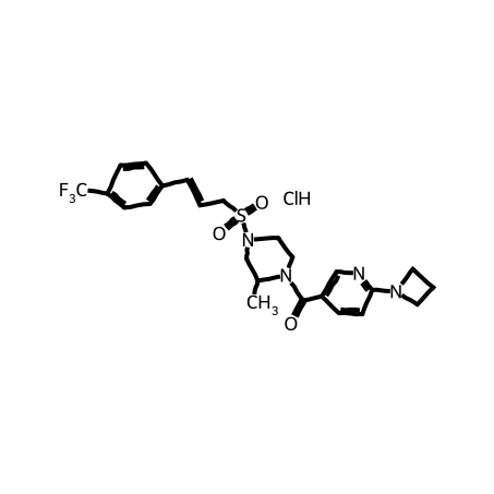 CC1CN(S(=O)(=O)CC=Cc2ccc(C(F)(F)F)cc2)CCN1C(=O)c1ccc(N2CCC2)nc1.Cl